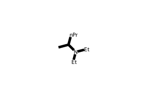 [CH2]CCC(C)N(CC)CC